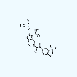 C=CC(O)[C@@H]1CN(C)C(=O)c2c3c(nn2C1)C[C@@H](C)N(C(=O)Nc1ccc(F)c(C(F)(F)F)c1)C3